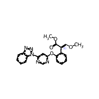 CO/C=C(/C(=O)OC)c1ccccc1Oc1cc(-n2nnc3ccccc32)ncn1